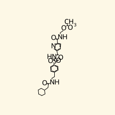 CC(=O)OCCNC(=O)c1ccc(C(=O)NS(=O)(=O)c2ccc(CCNC(=O)CC3CCCCC3)cc2)cn1